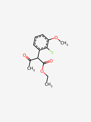 CCOC(=O)C(C(C)=O)c1cccc(OC)c1F